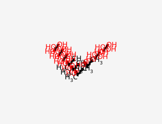 CCCCC(CC)C(=O)O.CCCCC(CC)C(=O)O.CCCCC(CC)C(=O)O.CCCCC(CC)C(=O)O.OC[C@@H](O)[C@@H](O)CO.OC[C@@H](O)[C@@H](O)CO.OC[C@@H](O)[C@@H](O)CO.OC[C@@H](O)[C@@H](O)CO.OC[C@@H](O)[C@@H](O)CO